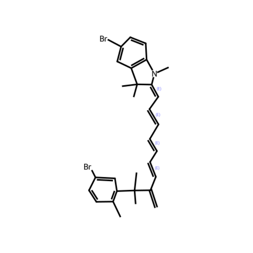 C=C(/C=C/C=C/C=C/C=C1/N(C)c2ccc(Br)cc2C1(C)C)C(C)(C)c1cc(Br)ccc1C